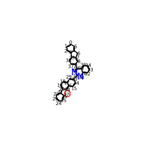 c1ccc2c(c1)Cc1cc(-c3nc(-c4ccc5c(ccc6c7ccccc7oc56)c4)nc4ccccc34)ccc1-2